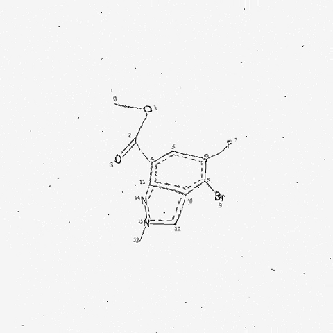 COC(=O)c1cc(F)c(Br)c2cn(C)nc12